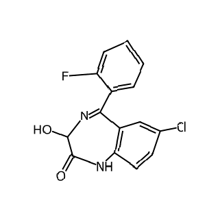 O=C1Nc2ccc(Cl)cc2C(c2ccccc2F)=NC1O